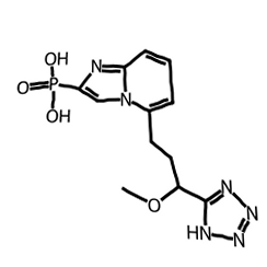 COC(CCc1cccc2nc(P(=O)(O)O)cn12)c1nnn[nH]1